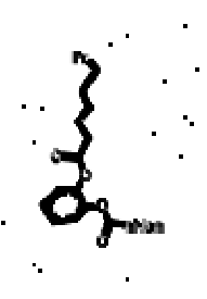 CCCCCCCCCC(=O)Oc1ccccc1OC(=O)CCCCCC(C)C